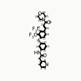 O=C(Cc1cccnc1)Nc1cccc(Sc2ccc(/C=C/C(=O)N3CCOCC3)c(C(F)(F)F)c2C(F)(F)F)c1